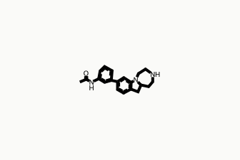 CC(=O)Nc1cccc(-c2ccc3c(c2)N2CCNCCC2C3)c1